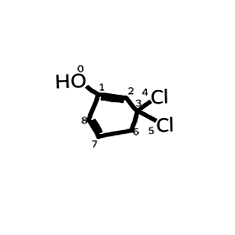 OC1=CC(Cl)(Cl)CC=C1